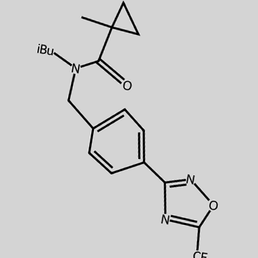 CCC(C)N(Cc1ccc(-c2noc(C(F)(F)F)n2)cc1)C(=O)C1(C)CC1